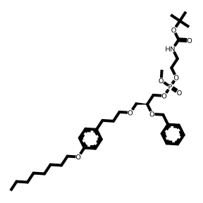 CCCCCCCCOc1ccc(CCCOC[C@@H](COP(=O)(OC)OCCNC(=O)OC(C)(C)C)OCc2ccccc2)cc1